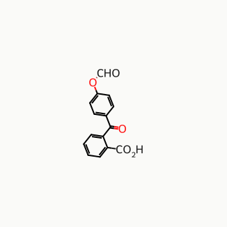 O=COc1ccc(C(=O)c2ccccc2C(=O)O)cc1